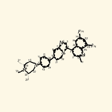 Cc1cc(-c2cnc3cc(-c4ccc(N5C[C@@H](C)N(C)[C@@H](C)C5)cc4)ccn23)c2cc(F)cc(F)c2n1